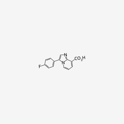 O=C(O)c1cccn2c(-c3ccc(F)cc3)cnc12